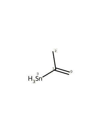 C=[C](C)[SnH3]